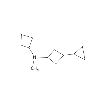 CN(C1CCC1)C1CC(C2CC2)C1